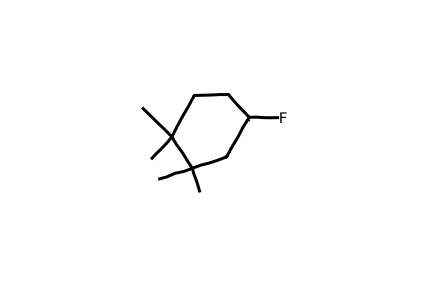 CC1(C)CC[C](F)CC1(C)C